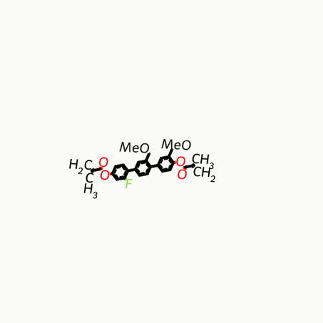 C=C(C)C(=O)Oc1ccc(-c2ccc(-c3ccc(OC(=O)C(=C)C)c(COC)c3)c(COC)c2)c(F)c1